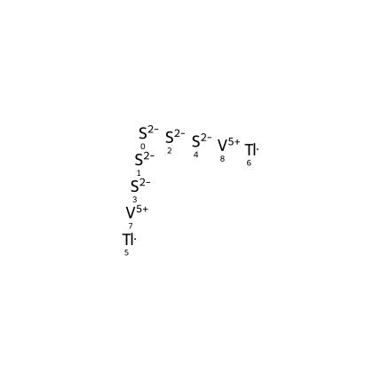 [S-2].[S-2].[S-2].[S-2].[S-2].[Tl].[Tl].[V+5].[V+5]